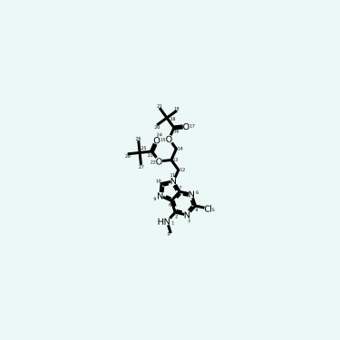 CNc1nc(Cl)nc2c1ncn2CC(COC(=O)C(C)(C)C)OC(=O)C(C)(C)C